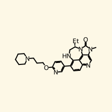 CC[C@@H]1CNc2c(-c3ccc(OCCCN4CCCCC4)nc3)ccc3ncc4c(c23)n1c(=O)n4C